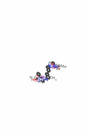 COC(=O)N[C@H](C(=O)N1[C@@H]2CC[C@@H](C2)[C@H]1c1nc2ccc3cc(-c4ccc5c(c4)C(C)Cc4nc([C@@H]6CCCN6C(=O)[C@H](NC(=O)C(C)(C)O)c6ccccc6)[nH]c4-5)ccc3c2[nH]1)C(C)C